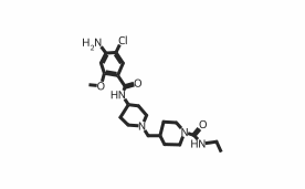 CCNC(=O)N1CCC(CN2CCC(NC(=O)c3cc(Cl)c(N)cc3OC)CC2)CC1